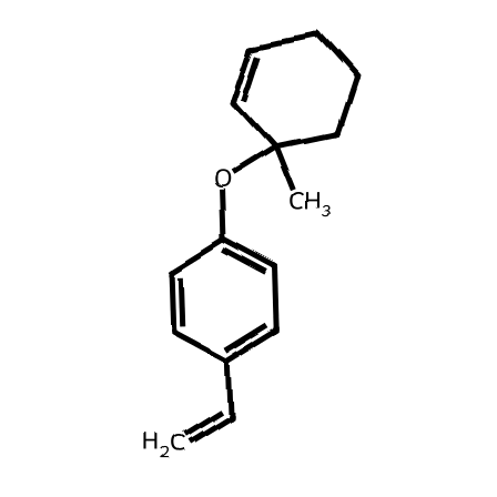 C=Cc1ccc(OC2(C)C=CCCC2)cc1